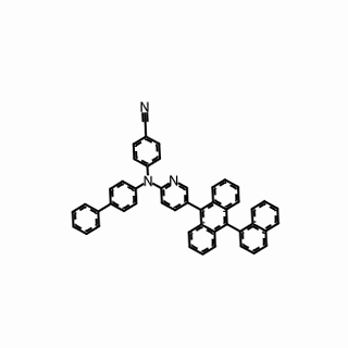 N#Cc1ccc(N(c2ccc(-c3ccccc3)cc2)c2ccc(-c3c4ccccc4c(-c4cccc5ccccc45)c4ccccc34)cn2)cc1